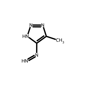 Cc1nn[nH]c1N=N